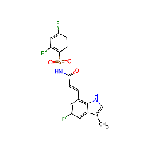 Cc1c[nH]c2c(/C=C/C(=O)NS(=O)(=O)c3ccc(F)cc3F)cc(F)cc12